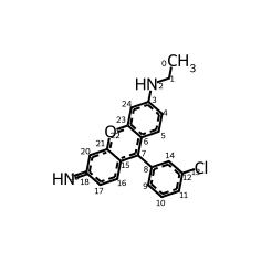 CCNc1ccc2c(-c3cccc(Cl)c3)c3ccc(=N)cc-3oc2c1